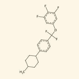 CC1CCC(c2ccc(C(F)(F)Oc3cc(F)c(F)c(F)c3)cc2)CC1